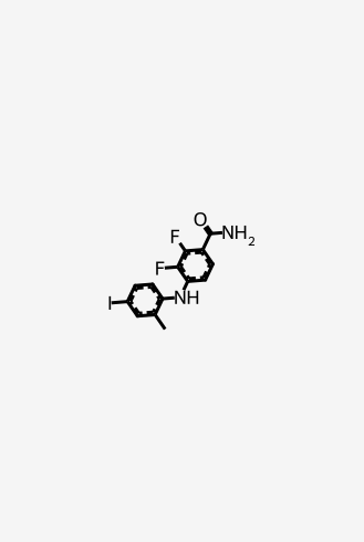 Cc1cc(I)ccc1Nc1ccc(C(N)=O)c(F)c1F